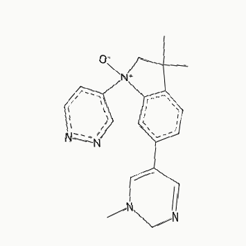 CN1C=C(c2ccc3c(c2)[N+]([O-])(c2ccnnc2)CC3(C)C)C=NC1